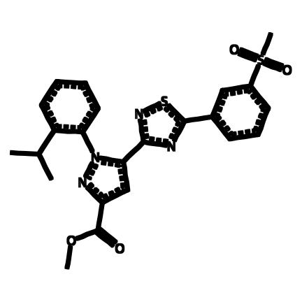 COC(=O)c1cc(-c2nsc(-c3cccc(S(C)(=O)=O)c3)n2)n(-c2ccccc2C(C)C)n1